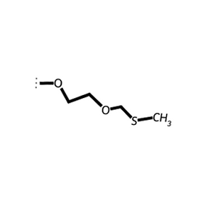 [C]OCCOCSC